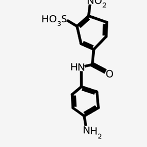 Nc1ccc(NC(=O)c2ccc([N+](=O)[O-])c(S(=O)(=O)O)c2)cc1